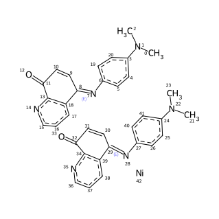 CN(C)c1ccc(/N=C2\C=CC(=O)c3ncccc32)cc1.CN(C)c1ccc(/N=C2\C=CC(=O)c3ncccc32)cc1.[Ni]